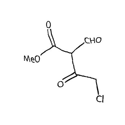 COC(=O)C(C=O)C(=O)CCl